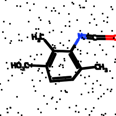 Cc1ccc(C(=O)O)c(C)c1N=C=O